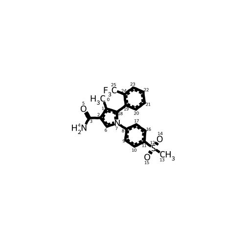 Cc1c(C(N)=O)cn(-c2ccc(S(C)(=O)=O)cc2)c1-c1ccccc1C(F)(F)F